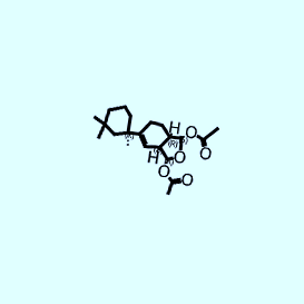 CC(=O)O[C@H]1O[C@@H](OC(C)=O)[C@@H]2CCC([C@]3(C)CCCC(C)(C)C3)=C[C@H]12